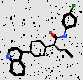 C=CC[C@@H](C(=O)Nc1ccc(Cl)cc1)C1CCC(c2ccnc3ccccc23)CC1